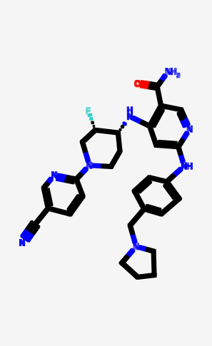 N#Cc1ccc(N2CC[C@@H](Nc3cc(Nc4ccc(CN5CCCC5)cc4)ncc3C(N)=O)[C@@H](F)C2)nc1